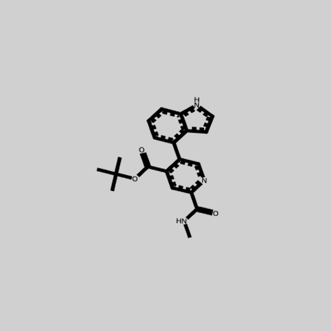 CNC(=O)c1cc(C(=O)OC(C)(C)C)c(-c2cccc3[nH]ccc23)cn1